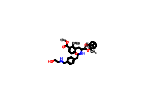 COc1c(CC(NC(=O)Cc2ccc(CNCCO)cc2)B2OC3CC4CC(C4(C)C)C3(C)O2)cccc1C(=O)OC(C)(C)C